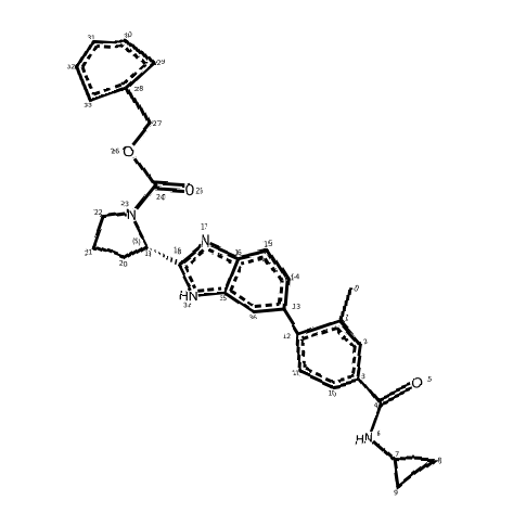 Cc1cc(C(=O)NC2CC2)ccc1-c1ccc2nc([C@@H]3CCCN3C(=O)OCc3ccccc3)[nH]c2c1